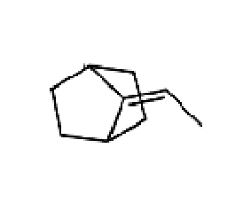 CC=C1[C]2CCC1CC2